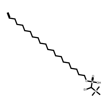 C=CCCCCCCCCCCCCCCCCCCCOP(=O)(O)C(CC)[N+](C)(C)C